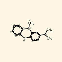 CC(=O)C(C)c1ccc2c(c1)N(C)c1ccccc1S2